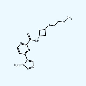 COCCO[C@H]1C[C@H](NC(=O)c2nccc(-c3cncn3C)n2)C1